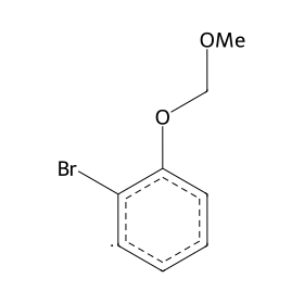 COCOc1ccc[c]c1Br